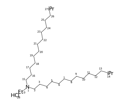 CCN(CCCCCCCCCCCCC(C)C)CCCCCCCCCCCCC(C)C.Cl